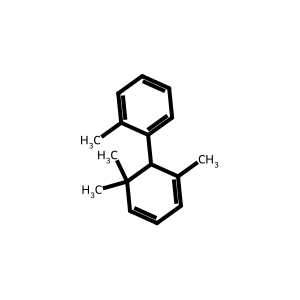 CC1=CC=CC(C)(C)C1c1ccccc1C